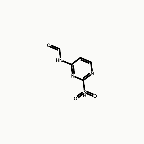 O=CNc1ccnc([SH](=O)=O)n1